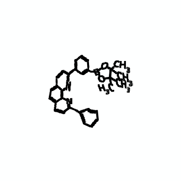 CC1(C)OB(c2cccc(-c3ccc4ccc5ccc(-c6ccccc6)nc5c4n3)c2)OC1(C)C